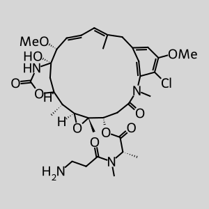 COc1cc2cc(c1Cl)N(C)C(=O)C[C@H](OC(=O)[C@H](C)N(C)C(=O)CCN)[C@]1(C)O[C@H]1[C@H](C)[C@@H]1C[C@@](O)(NC(=O)O1)[C@H](OC)/C=C/C=C(\C)C2